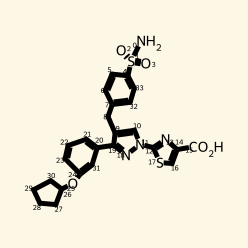 NS(=O)(=O)c1ccc(Cc2cn(-c3nc(C(=O)O)cs3)nc2-c2cccc(OC3CCCC3)c2)cc1